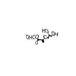 C=C(OCC(O)CO)C(=O)OC=O